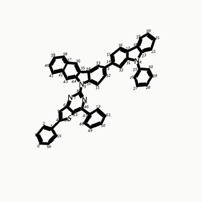 c1ccc(-c2cc3nc(-n4c5ccc(-c6ccc7c8ccccc8n(-c8ccccc8)c7c6)cc5c5cc6ccccc6cc54)nc(-c4ccccc4)c3s2)cc1